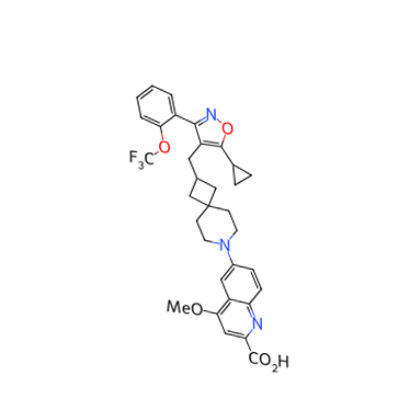 COc1cc(C(=O)O)nc2ccc(N3CCC4(CC3)CC(Cc3c(-c5ccccc5OC(F)(F)F)noc3C3CC3)C4)cc12